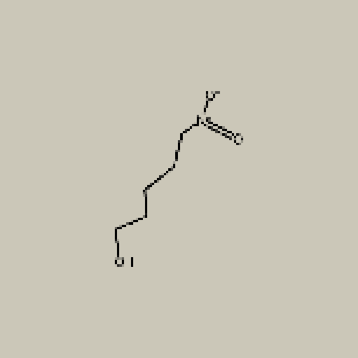 O=[N+]([O-])CCCCCO